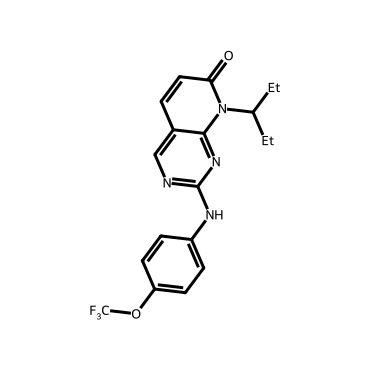 CCC(CC)n1c(=O)ccc2cnc(Nc3ccc(OC(F)(F)F)cc3)nc21